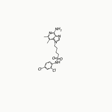 Cc1nc(N)c2ncn(CCCCS(=O)(=O)Nc3ccc(Cl)cc3Cl)c2c1C